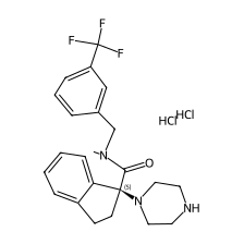 CN(Cc1cccc(C(F)(F)F)c1)C(=O)[C@]1(N2CCNCC2)CCc2ccccc21.Cl.Cl